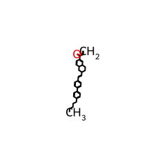 C=CC(=O)C1=CC2CCC(C=Cc3ccc(-c4ccc(CCCCC)cc4)cc3)CC2C=C1